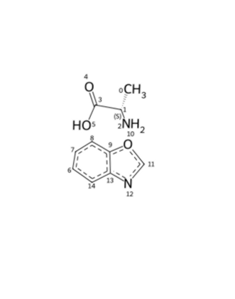 C[C@H](N)C(=O)O.c1ccc2ocnc2c1